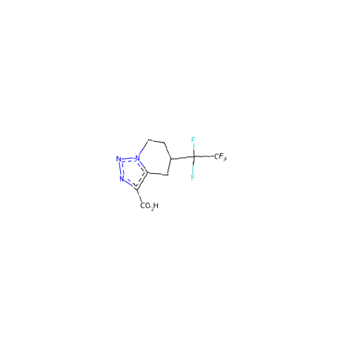 O=C(O)c1nnn2c1CC(C(F)(F)C(F)(F)F)CC2